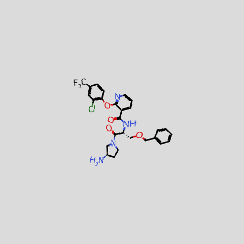 N[C@@H]1CCN(C(=O)[C@@H](COCc2ccccc2)NC(=O)c2cccnc2Oc2ccc(C(F)(F)F)cc2Cl)C1